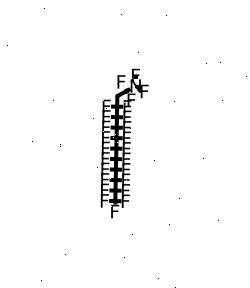 FN(F)C(F)(F)CC(F)(F)C(F)(F)C(F)(F)C(F)(F)C(F)(F)C(F)(F)C(F)(F)C(F)(F)C(F)(F)C(F)(F)F